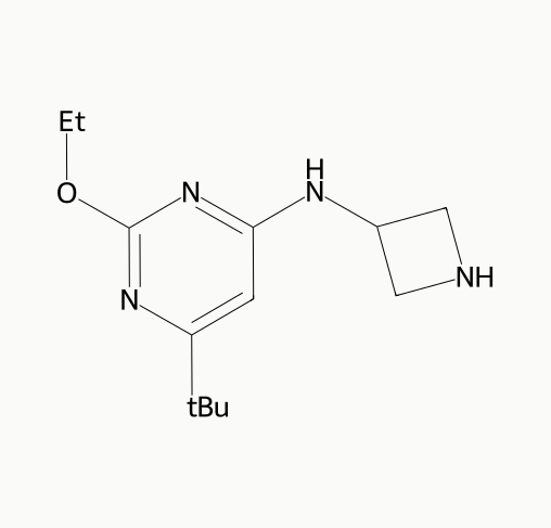 CCOc1nc(NC2CNC2)cc(C(C)(C)C)n1